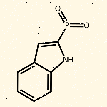 O=P(=O)c1cc2ccccc2[nH]1